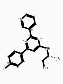 C[C@H](CO)Nc1cc(-c2ccc(Cl)cc2)nc(-c2cccnc2)n1